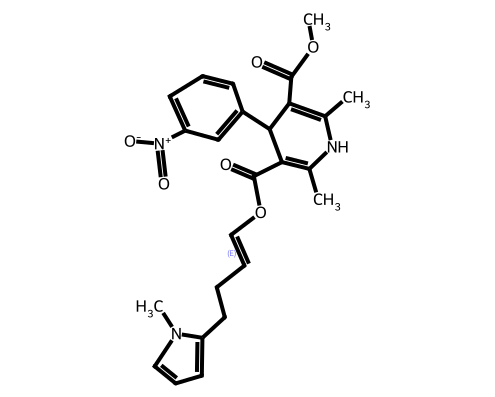 COC(=O)C1=C(C)NC(C)=C(C(=O)O/C=C/CCc2cccn2C)C1c1cccc([N+](=O)[O-])c1